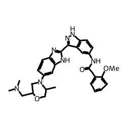 COc1ccccc1C(=O)Nc1ccc2[nH]nc(-c3nc4ccc(N5CC(CN(C)C)OCC5C)cc4[nH]3)c2c1